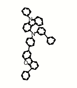 c1ccc(-c2cccc(N(c3ccc(-c4ccc5oc6c(-c7ccccc7)cccc6c5c4)cc3)c3cccc4c3c3ccccc3n4-c3ccccc3)c2)cc1